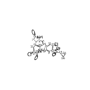 O=C1CC[C@H](/C=C(/c2ccc(S(=O)(=O)C3CC3)c(Cl)c2)c2ccc(Cl)c(=O)[nH]2)N1